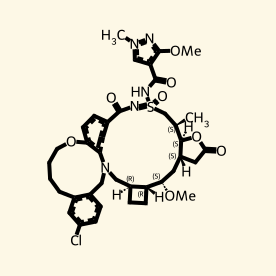 COc1nn(C)cc1C(=O)NS1(=O)=NC(=O)c2ccc3c(c2)N(Cc2ccc(Cl)cc2CCCCO3)C[C@@H]2CC[C@H]2[C@@H](OC)C[C@H]2CC(=O)O[C@@H]2[C@H](C)C1